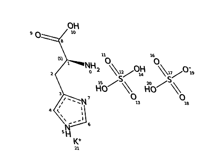 N[C@@H](Cc1c[nH]cn1)C(=O)O.O=S(=O)(O)O.O=S(=O)([O-])O.[K+]